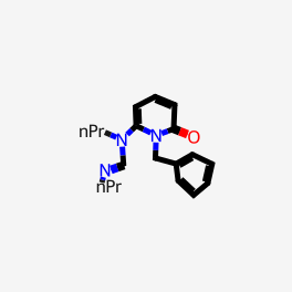 CCCN=CN(CCC)c1cccc(=O)n1Cc1ccccc1